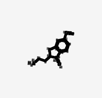 COc1ccc2c(c1)SC(CCN)[N+]2=O